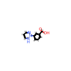 O=C(O)c1cccc(N2N=CC=CN2)c1